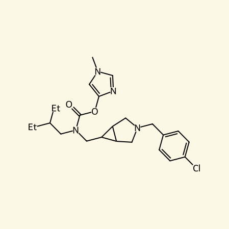 CCC(CC)CN(CC1C2CN(Cc3ccc(Cl)cc3)CC21)C(=O)Oc1cn(C)cn1